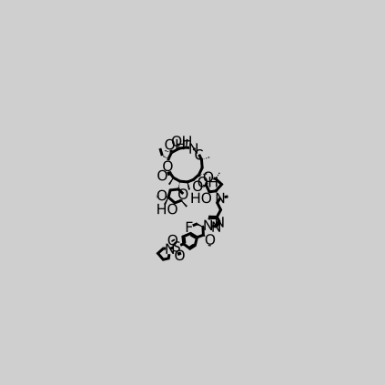 CC[C@H]1OC(=O)[C@H](C)[C@@H](C2C[C@@](C)(OC)[C@@H](O)[C@H](C)O2)[C@H](C)[C@@H](O[C@@H]2O[C@H](C)C[C@H](N(C)CCc3cn([C@H](CF)[C@H](OC)c4ccc(S(=O)(=O)N5CCCC5)cc4)nn3)[C@H]2O)[C@](C)(O)C[C@@H](C)CN(C)[C@H](C)[C@@H](O)[C@]1(C)O